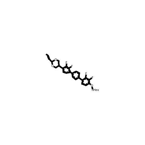 C/C=C/C1OCC(c2ccc(-c3ccc(-c4ccc(OCCCCCC)c(F)c4F)cc3)c(F)c2F)CO1